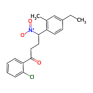 CCc1ccc(C(CCC(=O)c2ccccc2Cl)[N+](=O)[O-])c(C)c1